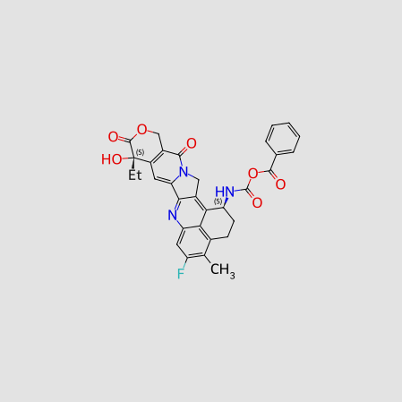 CC[C@@]1(O)C(=O)OCc2c1cc1n(c2=O)Cc2c-1nc1cc(F)c(C)c3c1c2[C@@H](NC(=O)OC(=O)c1ccccc1)CC3